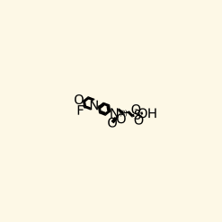 O=C1CCN(c2ccc(N3C[C@@H](CCS(=O)(=O)O)OC3=O)cc2)CC1F